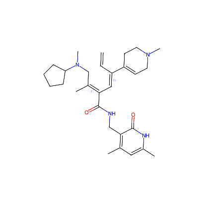 C=C/C(=C\C(C(=O)NCc1c(C)cc(C)[nH]c1=O)=C(\C)CN(C)C1CCCC1)C1=CCN(C)CC1